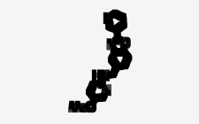 COc1ccc(NCc2ccc3oc(-c4cccnc4)nc3c2)nc1